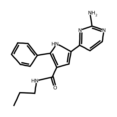 CCCNC(=O)c1cc(-c2ccnc(N)n2)[nH]c1-c1ccccc1